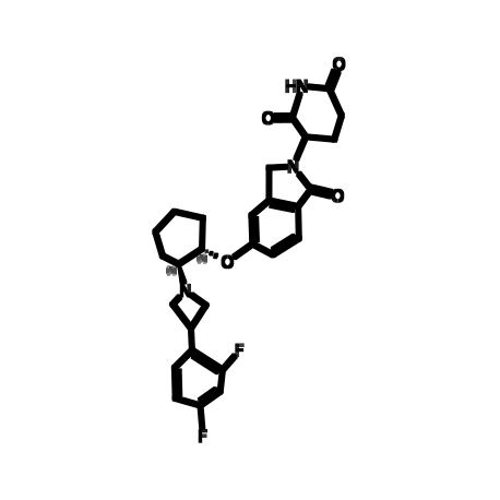 O=C1CCC(N2Cc3cc(O[C@H]4CCCC[C@@H]4N4CC(c5ccc(F)cc5F)C4)ccc3C2=O)C(=O)N1